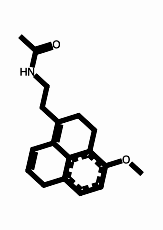 COc1ccc2c3c1CCC(CCNC(C)=O)=C3C=CC2